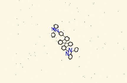 c1ccc(-c2nc(-c3cccc4c3-c3ccccc3C43c4ccccc4-c4c(-c5ccc(-n6c(-c7ccccc7)nc7ccccc76)cc5)cccc43)nc3ccccc23)cc1